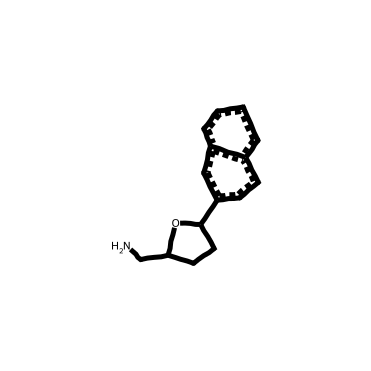 NCC1CCC(c2ccc3ccccc3c2)O1